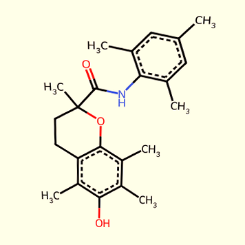 Cc1cc(C)c(NC(=O)C2(C)CCc3c(C)c(O)c(C)c(C)c3O2)c(C)c1